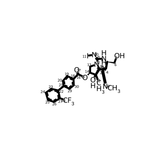 C/N=C1\NC2[C@H](CO)N/C(=N/I)N3C[C@H](OC(=O)c4ccc(-c5ccccc5C(F)(F)F)cc4)C(C)C23N1O